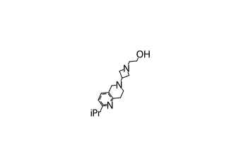 CC(C)c1ccc2c(n1)CCN(C1CN(CCO)C1)C2